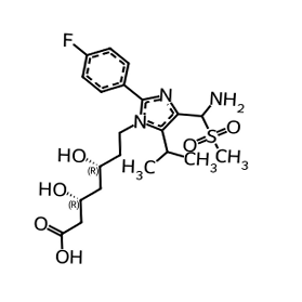 CC(C)c1c(C(N)S(C)(=O)=O)nc(-c2ccc(F)cc2)n1CC[C@@H](O)C[C@@H](O)CC(=O)O